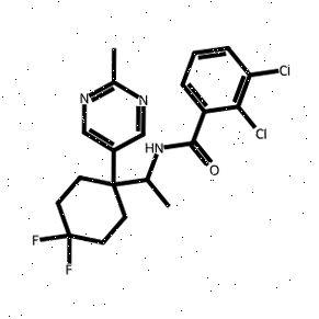 Cc1ncc(C2(C(C)NC(=O)c3cccc(Cl)c3Cl)CCC(F)(F)CC2)cn1